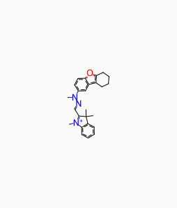 CN(N=CC1=[N+](C)c2ccccc2C1(C)C)c1ccc2oc3c(c2c1)CCCC3